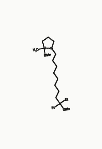 CC[Si](CC)(CCCCCCCCN1CCC[Si]1(C)OC)OC